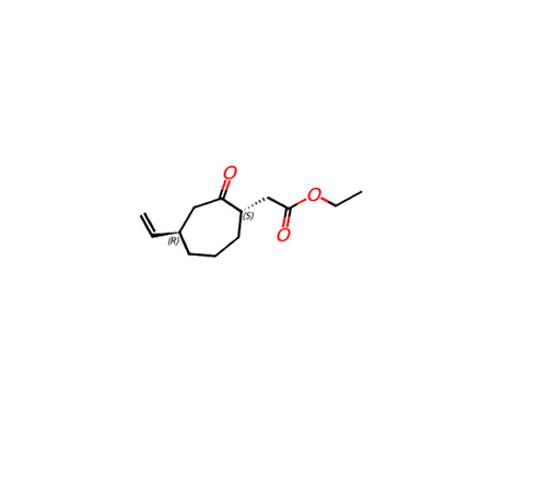 C=C[C@@H]1CCC[C@@H](CC(=O)OCC)C(=O)C1